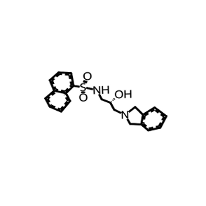 O=S(=O)(NC[C@H](O)CN1Cc2ccccc2C1)c1cccc2ccccc12